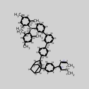 C=N/C=C(\C=C/C)c1ccc(C23CC4CC(C2)CC(c2ccc(-c5cccc(-c6cccc(B(c7c(C)cc(C)cc7C)c7c(C)cc(C)cc7C)c6)c5)cc2)(C4)C3)cc1